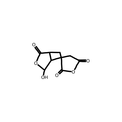 O=C1CC2(CC3C(=O)OC(O)C32)C(=O)O1